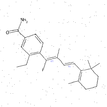 CCc1cc(C(N)=O)ccc1/C(F)=C(C)/C=C/C1=C(C)CCCC1(C)C